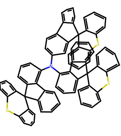 c1ccc2c(c1)Sc1ccccc1C21c2ccccc2-c2ccc(N(c3cccc4c3-c3ccccc3C43c4ccccc4Sc4ccccc43)c3cccc4c3-c3ccccc3C43c4ccccc4Sc4ccccc43)cc21